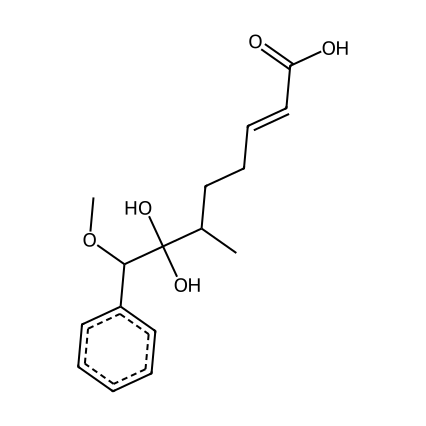 COC(c1ccccc1)C(O)(O)C(C)CCC=CC(=O)O